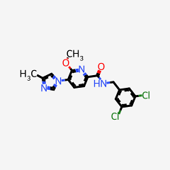 COc1nc(C(=O)NCc2cc(Cl)cc(Cl)c2)ccc1-n1cnc(C)c1